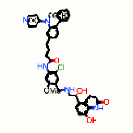 COc1cc(NC(=O)CCCc2ccc(-c3ccccc3)c(N(C(=O)O)C34CCN(CC3)CC4)c2)c(Cl)cc1CNC[C@@H](O)c1ccc(O)c2[nH]c(=O)ccc12